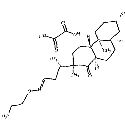 CCC[C@@H](C/C=N/OCCN)[C@@]1(C)CC[C@H]2[C@@H](CC[C@@H]3C[C@@H](O)CC[C@@]32C)C1=O.O=C(O)C(=O)O